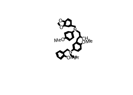 COc1ccc(N(Cc2ccc3c(c2)OCO3)CC(C)Cc2cc(N(Cc3ccccc3OC)CC(C)C)ccc2OC)cc1